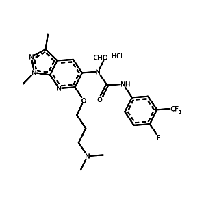 Cc1nn(C)c2nc(OCCCN(C)C)c(N(C=O)C(=O)Nc3ccc(F)c(C(F)(F)F)c3)cc12.Cl